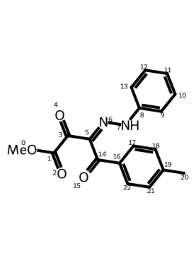 COC(=O)C(=O)C(=NNc1ccccc1)C(=O)c1ccc(C)cc1